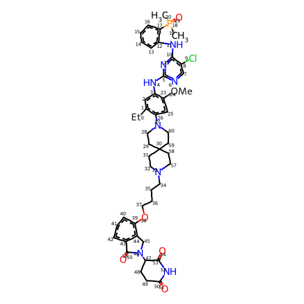 CCc1cc(Nc2ncc(Cl)c(Nc3ccccc3P(C)(C)=O)n2)c(OC)cc1N1CCC2(CCN(CCCCOc3cccc4c3CN(C3CCC(=O)NC3=O)C4=O)CC2)CC1